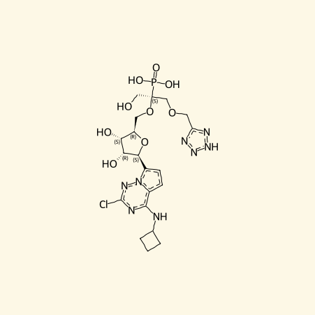 O=P(O)(O)[C@@](CO)(COCc1nn[nH]n1)OC[C@H]1O[C@@H](c2ccc3c(NC4CCC4)nc(Cl)nn23)[C@H](O)[C@@H]1O